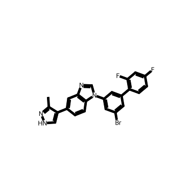 Cc1n[nH]cc1-c1ccc2c(c1)ncn2-c1cc(Br)cc(-c2ccc(F)cc2F)c1